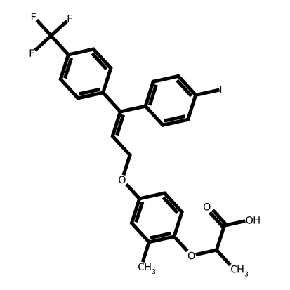 Cc1cc(OC/C=C(\c2ccc(I)cc2)c2ccc(C(F)(F)F)cc2)ccc1OC(C)C(=O)O